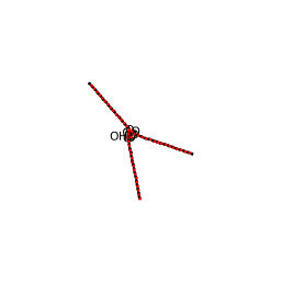 C#CC#CC#CC#CC#CC#CC#CC#CC#CC#CC#CC#CC#CC#CC#COC(=O)CC(CC(=O)OC#CC#CC#CC#CC#CC#CC#CC#CC#CC#CC#CC#CC#CC#CC#C)(OC=O)C(=O)OC#CC#CC#CC#CC#CC#CC#CC#CC#CC#CC#CC#CC#CC#CC#C